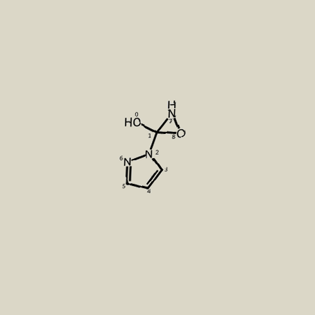 OC1(n2cccn2)NO1